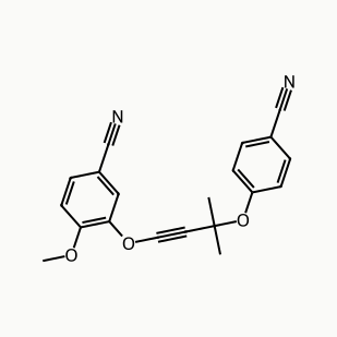 COc1ccc(C#N)cc1OC#CC(C)(C)Oc1ccc(C#N)cc1